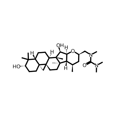 C[C@@H]1C[C@H](CN(C)C(=O)N(C)C)O[C@H]2[C@H]1[C@@]1(C)CC[C@@]34C[C@@]35CC[C@H](O)C(C)(C)[C@@H]5CC[C@H]4[C@]1(C)[C@H]2O